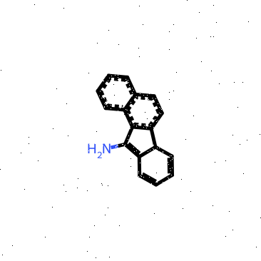 NC1=C2C=CC=CC2c2ccc3ccccc3c21